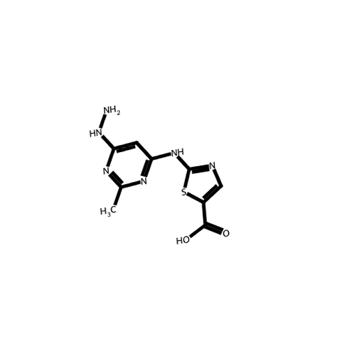 Cc1nc(NN)cc(Nc2ncc(C(=O)O)s2)n1